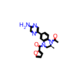 CC(=O)N1c2ccc(-c3cnc(N)cn3)cc2N(C(=O)c2ccco2)C[C@@H]1C